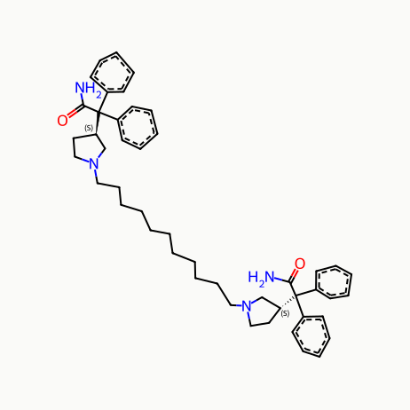 NC(=O)C(c1ccccc1)(c1ccccc1)[C@@H]1CCN(CCCCCCCCCCCN2CC[C@@H](C(C(N)=O)(c3ccccc3)c3ccccc3)C2)C1